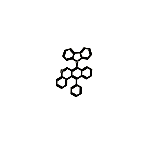 c1ccc(-c2c3ccccc3c(-n3c4ccccc4c4ccccc43)c3cnc4ccccc4c23)cc1